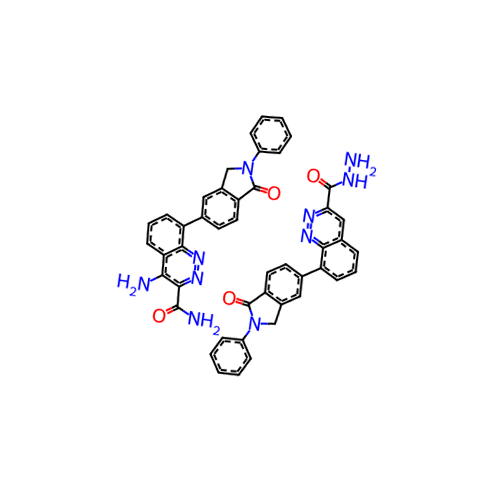 NC(=O)c1nnc2c(-c3ccc4c(c3)CN(c3ccccc3)C4=O)cccc2c1N.NNC(=O)c1cc2cccc(-c3ccc4c(c3)CN(c3ccccc3)C4=O)c2nn1